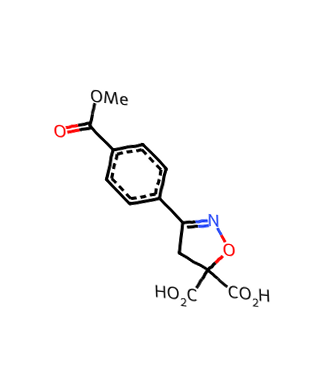 COC(=O)c1ccc(C2=NOC(C(=O)O)(C(=O)O)C2)cc1